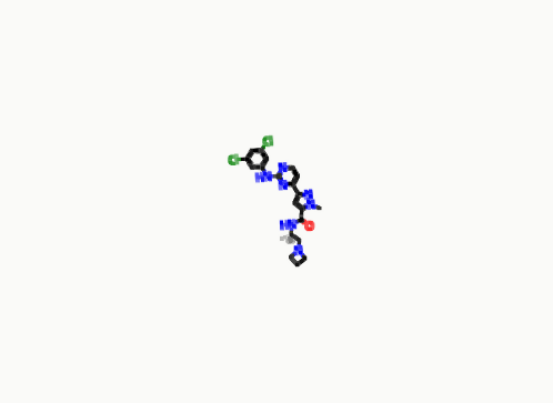 C[C@@H](CN1CCC1)NC(=O)c1cc(-c2ccnc(Nc3cc(Cl)cc(Cl)c3)n2)nn1C